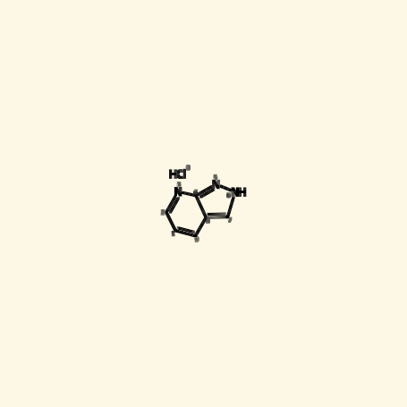 Cl.c1cnc2n[nH]cc2c1